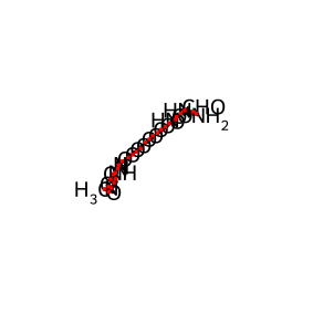 CC1CC(=O)N(CC2CCC(C(=O)NCc3cn(CCOCCOCCOCCOCCOCCOCCOCCOCCNC(=O)COCC(=O)NC(C=O)CCCCN)nn3)CC2)C1=O